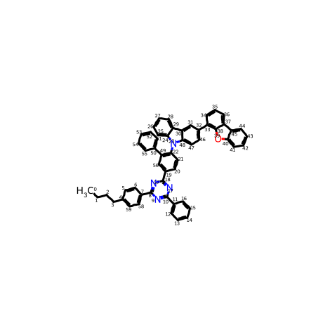 CCCCc1ccc(-c2nc(-c3ccccc3)nc(-c3ccc(-n4c5ccccc5c5cc(-c6cccc7c6oc6ccccc67)ccc54)c(-c4ccccc4)c3)n2)cc1